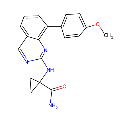 COc1ccc(-c2cccc3cnc(NC4(C(N)=O)CC4)nc23)cc1